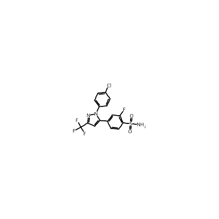 NS(=O)(=O)c1ccc(-c2cc(C(F)(F)F)nn2-c2ccc(Cl)cc2)cc1F